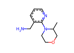 CC1COCCN1c1ncccc1CN